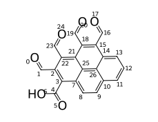 O=Cc1c(C(=O)O)c2ccc3cccc4c(C=O)c(C=O)c(c1C=O)c2c34